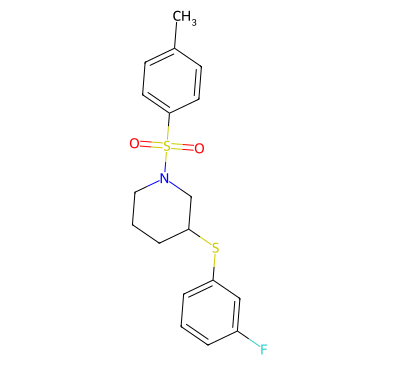 Cc1ccc(S(=O)(=O)N2CCCC(Sc3cccc(F)c3)C2)cc1